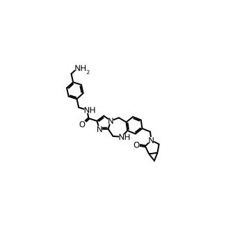 NCc1ccc(CNC(=O)c2cn3c(n2)CNc2cc(CN4CC5CC5C4=O)ccc2C3)cc1